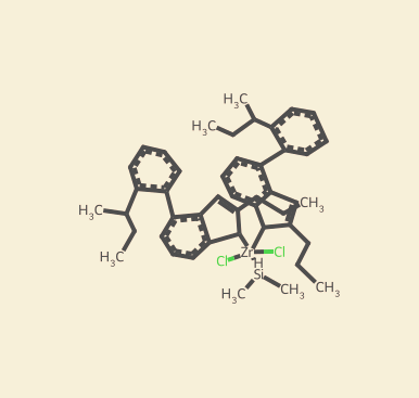 CCCC1=Cc2c(-c3ccccc3C(C)CC)cccc2[CH]1[Zr]([Cl])([Cl])([CH]1C(CCC)=Cc2c(-c3ccccc3C(C)CC)cccc21)[SiH](C)C